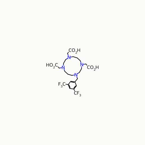 O=C(O)CN1CCCN(CC(=O)O)CCN(Cc2cc(C(F)(F)F)cc(C(F)(F)F)c2)CCCN(CC(=O)O)CC1